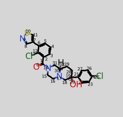 O=C(c1cccc(-c2cnsc2)c1Cl)N1CCN2C[C@@](O)(c3ccc(Cl)cc3)CC[C@@H]2C1